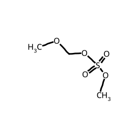 COCOS(=O)(=O)OC